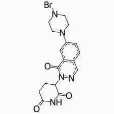 O=C1CCC(n2ncc3ccc(N4CCN(Br)CC4)cc3c2=O)C(=O)N1